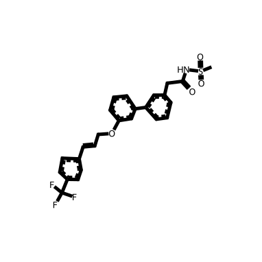 CS(=O)(=O)NC(=O)Cc1cccc(-c2cccc(OCC=Cc3ccc(C(F)(F)F)cc3)c2)c1